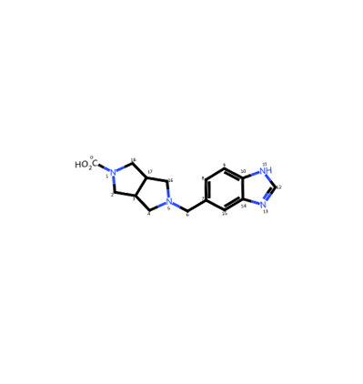 O=C(O)N1CC2CN(Cc3ccc4[nH]cnc4c3)CC2C1